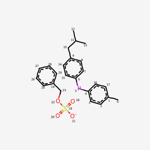 Cc1ccc([I+]c2ccc(CC(C)C)cc2)cc1.O=S(=O)([O-])OCc1ccccc1